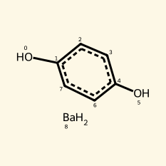 Oc1ccc(O)cc1.[BaH2]